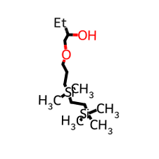 CCC(O)COCCC[Si](C)(C)CC[Si](C)(C)C